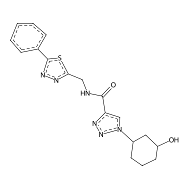 O=C(NCc1nnc(-c2ccccc2)s1)c1cn(C2CCCC(O)C2)nn1